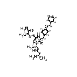 CC(N)CNCC(C)NC(=O)C(Cc1ccc(OCc2ccccc2)cc1)NC(=O)[CH]CC(C)C(N)=O